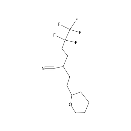 N#CC(CCC1CCCCO1)CCC(F)(F)C(F)(F)F